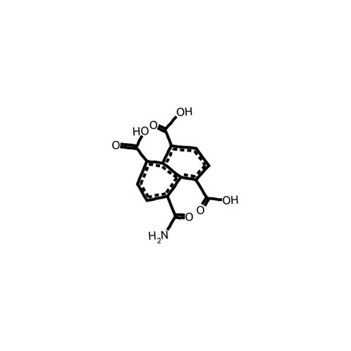 NC(=O)c1ccc(C(=O)O)c2c(C(=O)O)ccc(C(=O)O)c12